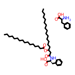 CCCCCCCCCCCCCCCC(=O)OC(CCCCCCCCCCCCCCC)CC(=O)N[C@@H](Cc1ccccc1)C(=O)O.N[C@@H](Cc1ccccc1)C(=O)O